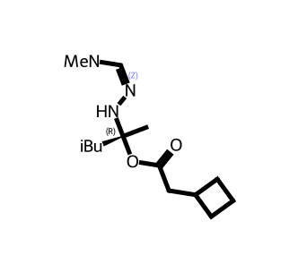 CCC(C)[C@](C)(N/N=C\NC)OC(=O)CC1CCC1